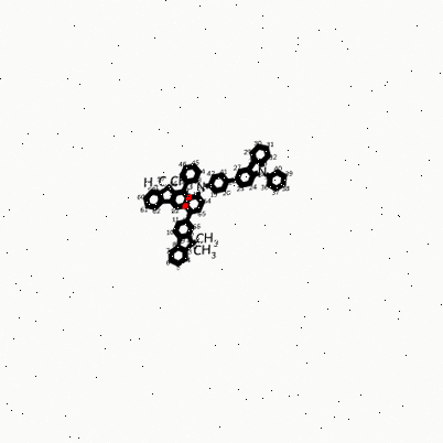 CC1(C)c2ccccc2-c2ccc(-c3ccc(N(c4ccc(-c5ccc6c(c5)c5ccccc5n6-c5ccccc5)cc4)c4ccccc4-c4cccc5c4C(C)(C)c4ccccc4-5)cc3)cc21